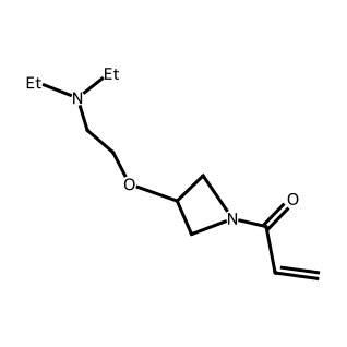 C=CC(=O)N1CC(OCCN(CC)CC)C1